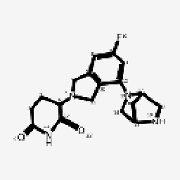 O=C1CCC(N2Cc3cc(F)cc(N4CC5CC4CN5)c3C2)C(=O)N1